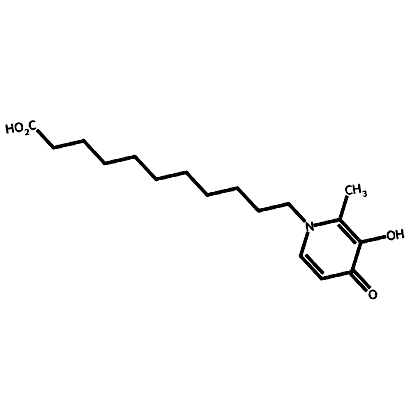 Cc1c(O)c(=O)ccn1CCCCCCCCCCC(=O)O